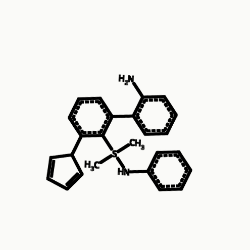 CS(C)(Nc1ccccc1)c1c(-c2ccccc2N)cccc1C1C=CC=C1